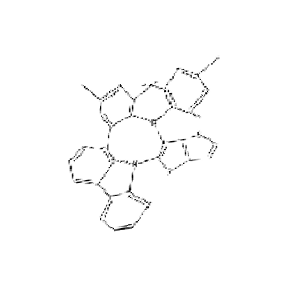 Cc1cc(C)c(B2c3c(C)cc(C)cc3-c3cccc4c5ccccc5n(c34)-c3sc4ccsc4c32)c(C)c1